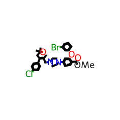 COC(=O)c1ccc(N2CCN(CC3=C(c4ccc(Cl)cc4)CC(C)(C)OC3)CC2)cc1Oc1cccc(Br)c1